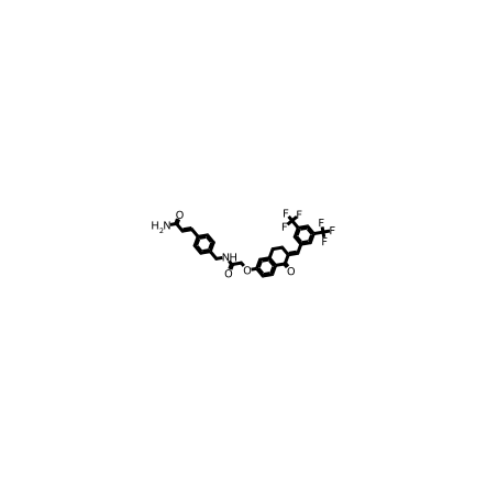 NC(=O)/C=C/c1ccc(CNC(=O)COc2ccc3c(c2)CC/C(=C\c2cc(C(F)(F)F)cc(C(F)(F)F)c2)C3=O)cc1